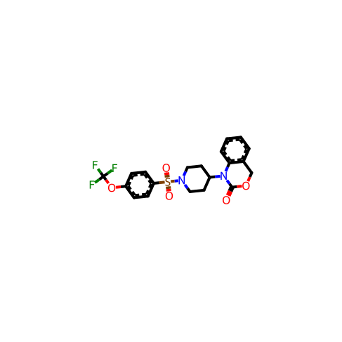 O=C1OCc2ccccc2N1C1CCN(S(=O)(=O)c2ccc(OC(F)(F)F)cc2)CC1